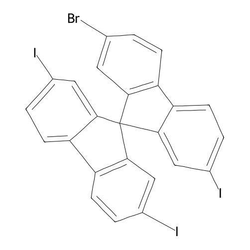 Brc1ccc2c(c1)C1(c3cc(I)ccc3-2)c2cc(I)ccc2-c2ccc(I)cc21